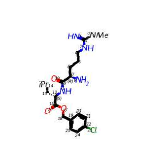 CNC(=N)NCCC[C@@H](N)C(=O)N[C@@H](CC(C)C)C(=O)OCc1ccc(Cl)cc1